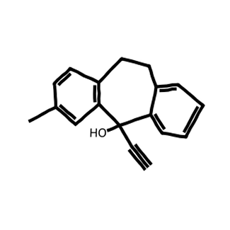 C#CC1(O)c2ccccc2CCc2ccc(C)cc21